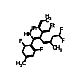 C\C=C/C(=C\CC)C(/C=C(/C)CC(F)F)=C(\NC(C)C)C1=C(F)C=C(C)CC1F